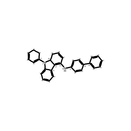 C1=CCCC(N2c3ccccc3C3=C(Nc4ccc(-c5ccccc5)cc4)C=CCC32)=C1